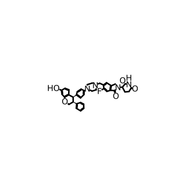 O=C1CCC(N2Cc3cc(CN4CCN(c5ccc([C@@H]6c7ccc(O)cc7OC[C@@H]6c6ccccc6)cc5)CC4)c(F)cc3C2=O)C(=O)N1